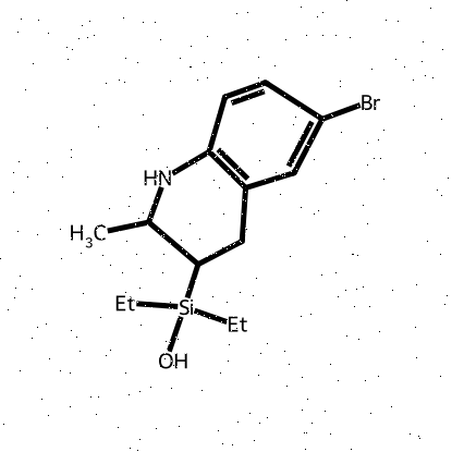 CC[Si](O)(CC)C1Cc2cc(Br)ccc2NC1C